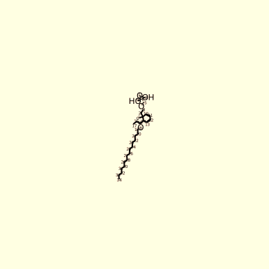 [CH2]C1(CCOCP(=O)(O)O)C=CC=CC1C(CC)OCCCCCCCCCCCCCCCC